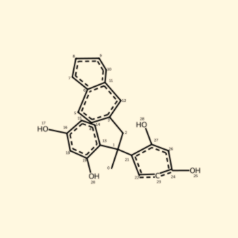 CC(Cc1ccc2ccccc2c1)(c1ccc(O)cc1O)c1ccc(O)cc1O